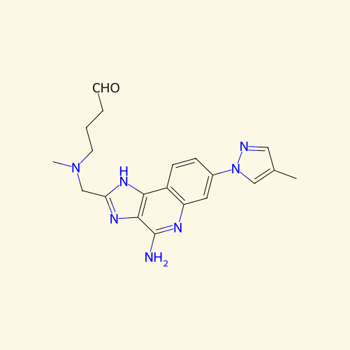 Cc1cnn(-c2ccc3c(c2)nc(N)c2nc(CN(C)CCCC=O)[nH]c23)c1